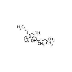 CCCCCc1cc(O)c(CC=C(C)CCC=C(C)C)c(O)c1C1=NCCO1